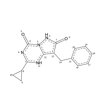 O=c1[nH]n2c(=O)nc(C3CC3)[nH]c2c1Cc1ccccc1